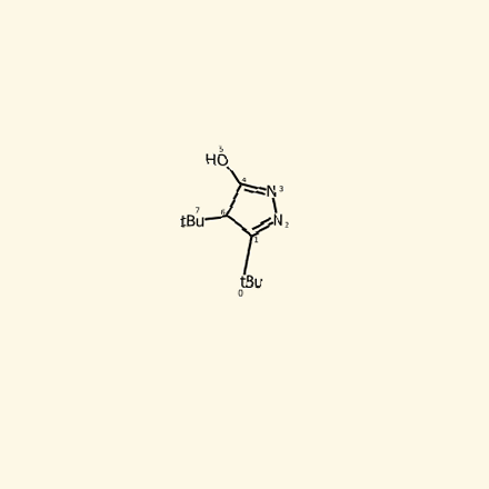 CC(C)(C)C1=NN=C(O)C1C(C)(C)C